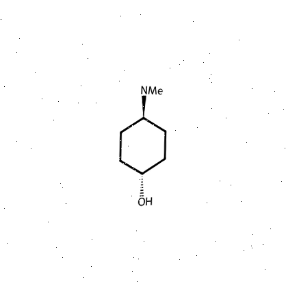 [CH2]N[C@H]1CC[C@H](O)CC1